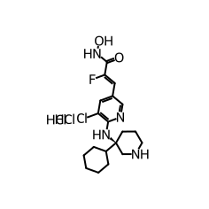 Cl.Cl.O=C(NO)/C(F)=C/c1cnc(N[C@@]2(C3CCCCC3)CCCNC2)c(Cl)c1